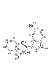 C[C@H](NC(=O)c1cn(C)c2ccc(Br)cc12)c1ccccc1